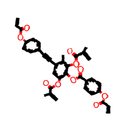 C=CC(=O)Oc1ccc(C#Cc2cc(OC(=O)C(=C)C)c(OC(=O)c3ccc(OC(=O)C=C)cc3)c(OC(=O)C(=C)C)c2C)cc1